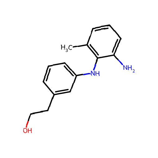 Cc1cccc(N)c1Nc1cccc(CCO)c1